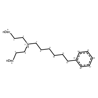 CCCCCCCCCCCC[SiH](CCCCCCCCCCCC)CCCCCCc1ccccc1